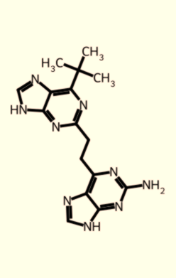 CC(C)(C)c1nc(CCc2nc(N)nc3[nH]cnc23)nc2[nH]cnc12